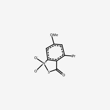 COc1cc(C(C)C)c2c(c1)[N+]([O-])([O-])SC2=O